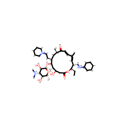 CC[C@H]1OC(=O)C[C@@H](O)[C@H](C)[C@@H](O[C@@H]2O[C@H](C)[C@@H](O)[C@H](N(C)C)[C@H]2O)[C@@H](CCN2CCCCC2)C[C@@H](C)C(=O)/C=C/C(C)=C/[C@@H]1CNC1CCCCC1